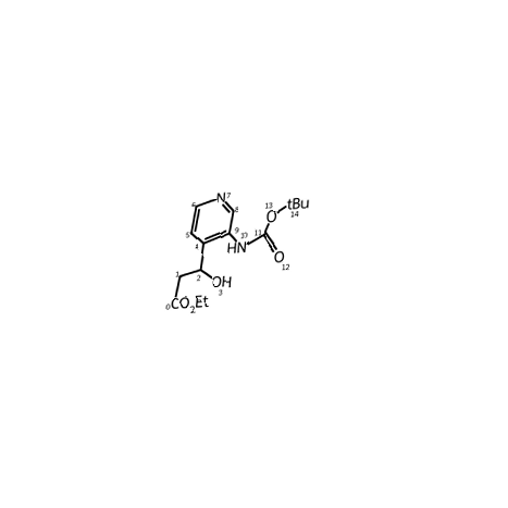 CCOC(=O)CC(O)c1ccncc1NC(=O)OC(C)(C)C